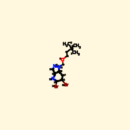 C[Si](C)(C)CCOCn1ncc2nc(Br)c(Br)cc21